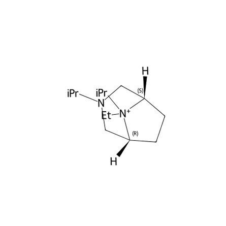 CC[N+]1(C(C)C)[C@@H]2CC[C@H]1CN(C(C)C)C2